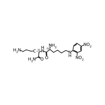 NCCCC[C@H](NC(=O)[C@@H](N)CCCCNc1ccc([N+](=O)[O-])cc1[N+](=O)[O-])C(N)=O